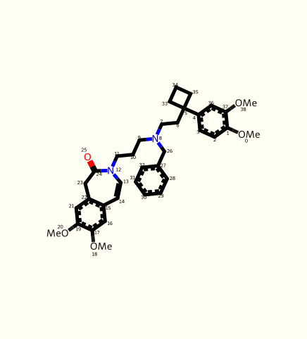 COc1ccc(C2(CCN(CCCN3C=Cc4cc(OC)c(OC)cc4CC3=O)Cc3ccccc3)CCC2)cc1OC